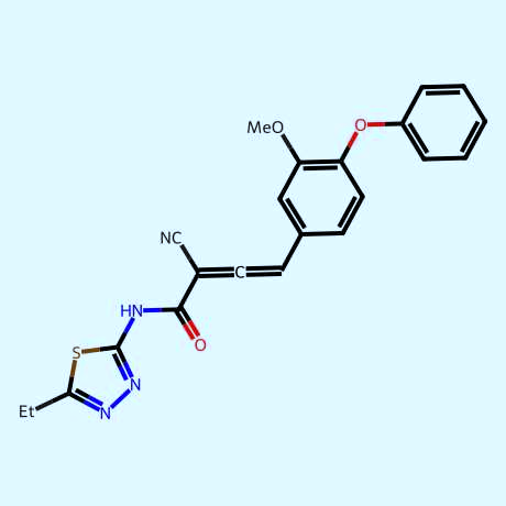 CCc1nnc(NC(=O)C(=C=Cc2ccc(Oc3ccccc3)c(OC)c2)C#N)s1